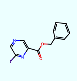 O=C(OCc1ccccc1)c1cncc(I)n1